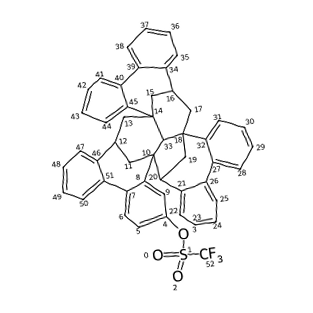 O=S(=O)(Oc1ccc2c(c1)C13CC(CC45CC(CC6(CC1c1ccccc1-c1ccccc16)C43)c1ccccc1-c1ccccc15)c1ccccc1-2)C(F)(F)F